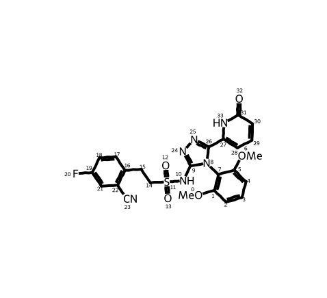 COc1cccc(OC)c1-n1c(NS(=O)(=O)CCc2ccc(F)cc2C#N)nnc1-c1cccc(=O)[nH]1